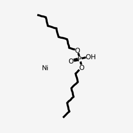 CCCCCCCOP(=O)(O)OCCCCCCC.[Ni]